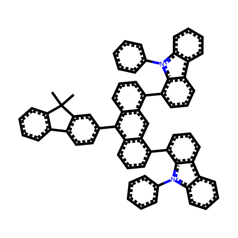 CC1(C)c2ccccc2-c2ccc(-c3c4cccc(-c5cccc6c7ccccc7n(-c7ccccc7)c56)c4cc4c(-c5cccc6c7ccccc7n(-c7ccccc7)c56)cccc34)cc21